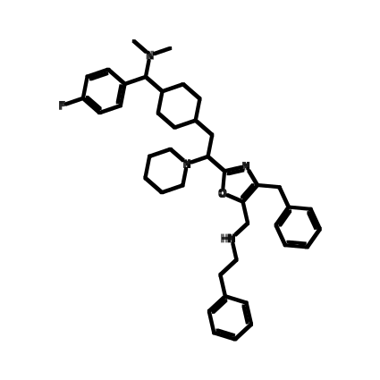 CN(C)C(c1ccc(F)cc1)C1CCC(CC(c2nc(Cc3ccccc3)c(CNCCc3ccccc3)o2)N2CCCCC2)CC1